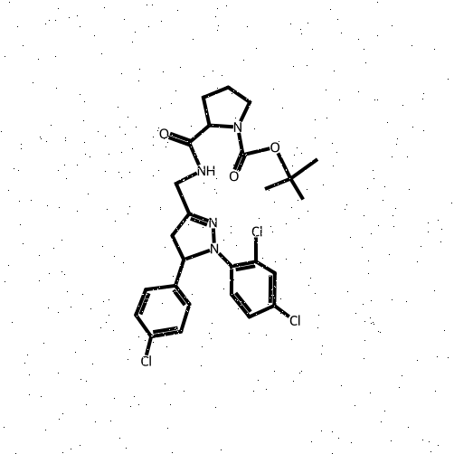 CC(C)(C)OC(=O)N1CCCC1C(=O)NCC1=NN(c2ccc(Cl)cc2Cl)C(c2ccc(Cl)cc2)C1